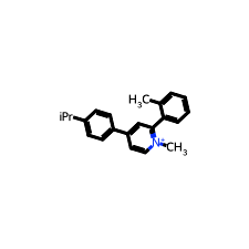 Cc1ccccc1-c1cc(-c2ccc(C(C)C)cc2)cc[n+]1C